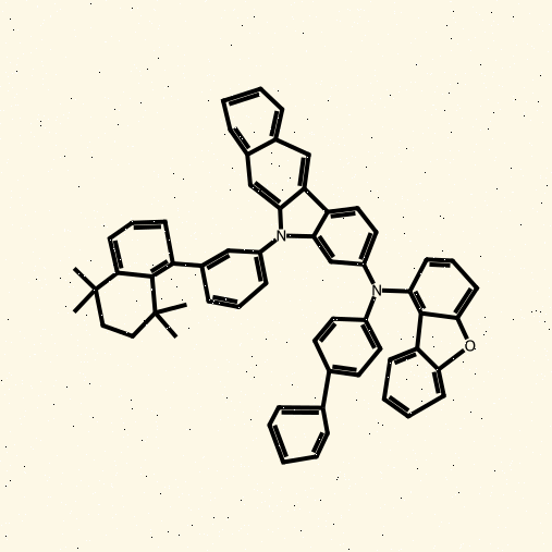 CC1(C)CCC(C)(C)c2c(-c3cccc(-n4c5cc(N(c6ccc(-c7ccccc7)cc6)c6cccc7oc8ccccc8c67)ccc5c5cc6ccccc6cc54)c3)cccc21